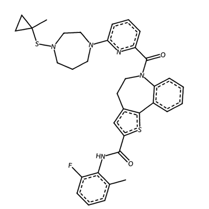 Cc1cccc(F)c1NC(=O)c1cc2c(s1)-c1ccccc1N(C(=O)c1cccc(N3CCCN(SC4(C)CC4)CC3)n1)CC2